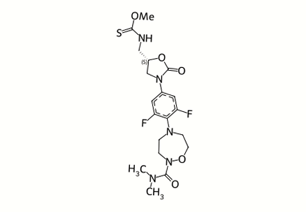 COC(=S)NC[C@H]1CN(c2cc(F)c(N3CCON(C(=O)N(C)C)CC3)c(F)c2)C(=O)O1